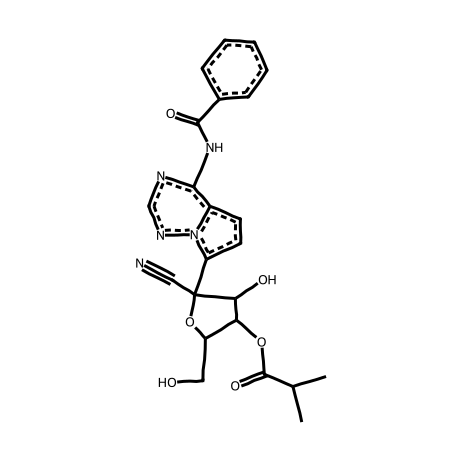 CC(C)C(=O)OC1C(CO)OC(C#N)(c2ccc3c(NC(=O)c4ccccc4)ncnn23)C1O